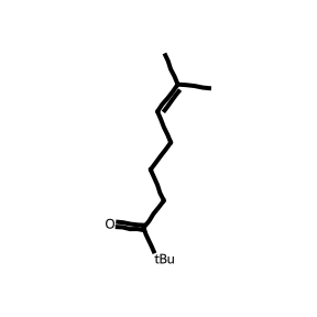 CC(C)=CCCCC(=O)C(C)(C)C